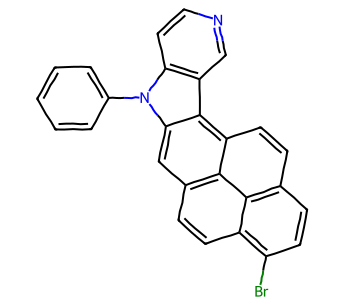 Brc1ccc2ccc3c4c(ccc1c24)cc1c3c2cnccc2n1-c1ccccc1